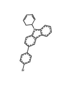 Brc1ccc(-c2ccc3c(c2)c2ccccc2n3C2C=CC=CC2)cc1